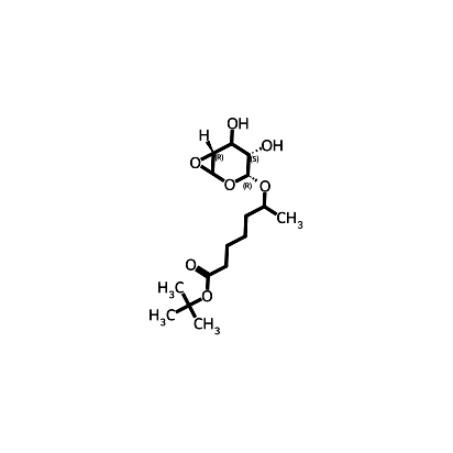 CC(CCCCC(=O)OC(C)(C)C)O[C@@H]1OC2O[C@@H]2C(O)[C@@H]1O